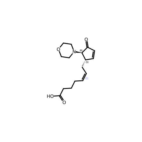 O=C(O)CCC/C=C\C[C@H]1C=CC(=O)[C@@H]1N1CCOCC1